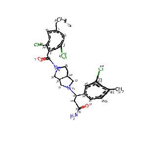 Cc1cc(Cl)c(C(=O)N2CC3CN(C(CC(N)=O)c4ccc(C)c(Cl)c4)CC3C2)c(Cl)c1